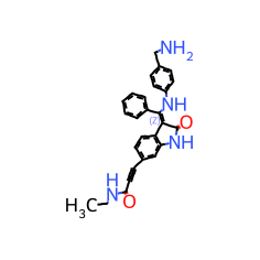 CCNC(=O)C#Cc1ccc2c(c1)NC(=O)/C2=C(\Nc1ccc(CN)cc1)c1ccccc1